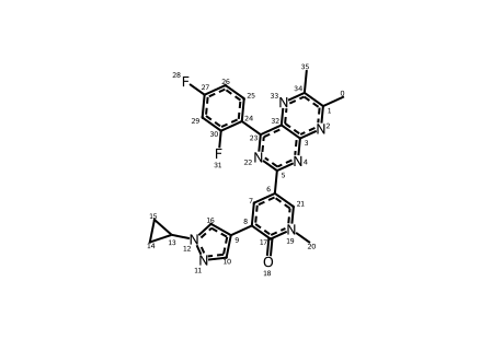 Cc1nc2nc(-c3cc(-c4cnn(C5CC5)c4)c(=O)n(C)c3)nc(-c3ccc(F)cc3F)c2nc1C